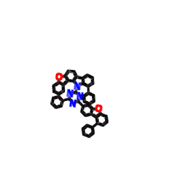 c1ccc(-c2nc(-c3ccc4c(c3)oc3cccc(-c5ccccc5)c34)nc(-n3c4c(-c5ccccc5)cccc4c4ccc5oc6ccccc6c5c43)n2)cc1